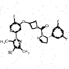 Cc1nn(-c2cc(OC3CN(C(=O)N4N=CC[C@H]4c4cc(F)cc(F)c4)C3)c(F)cn2)c(C)c1C#N